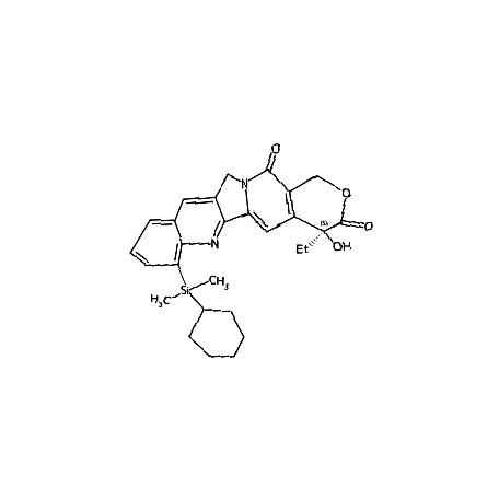 CC[C@@]1(O)C(=O)OCc2c1cc1n(c2=O)Cc2cc3cccc([Si](C)(C)C4CCCCC4)c3nc2-1